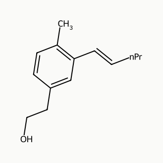 CCC/C=C/c1cc(CCO)ccc1C